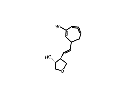 O[C@H]1COC[C@@H]1/C=C/C1C=C(Br)C=C=CC1